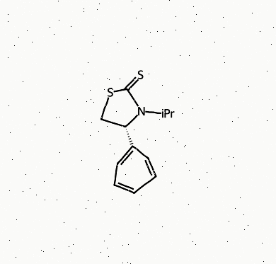 CC(C)N1C(=S)SC[C@H]1c1ccccc1